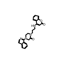 O=C1CN(c2nccc3ccccc23)CCN1CCCNc1cc(=O)oc2ccccc12